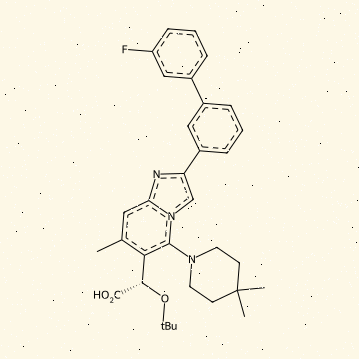 Cc1cc2nc(-c3cccc(-c4cccc(F)c4)c3)cn2c(N2CCC(C)(C)CC2)c1[C@H](OC(C)(C)C)C(=O)O